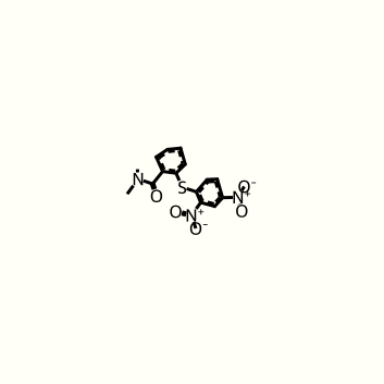 CN(C)C(=O)c1ccccc1Sc1ccc([N+](=O)[O-])cc1[N+](=O)[O-]